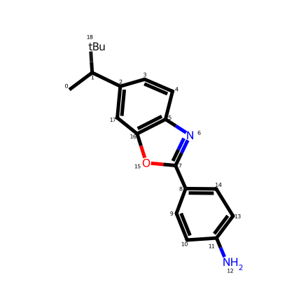 CC(c1ccc2nc(-c3ccc(N)cc3)oc2c1)C(C)(C)C